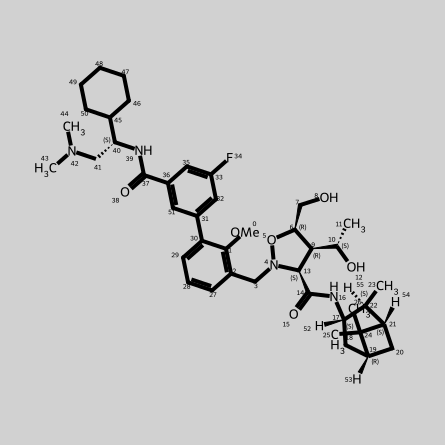 COc1c(CN2O[C@@H](CO)[C@@H]([C@H](C)O)[C@H]2C(=O)N[C@H]2C[C@H]3C[C@@H]([C@@H]2C)C3(C)C)cccc1-c1cc(F)cc(C(=O)N[C@H](CN(C)C)C2CCCCC2)c1